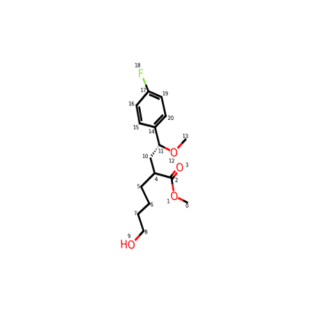 COC(=O)C(CCCCO)C[C@@H](OC)c1ccc(F)cc1